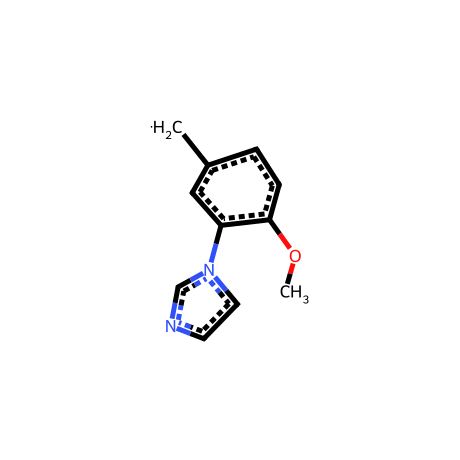 [CH2]c1ccc(OC)c(-n2ccnc2)c1